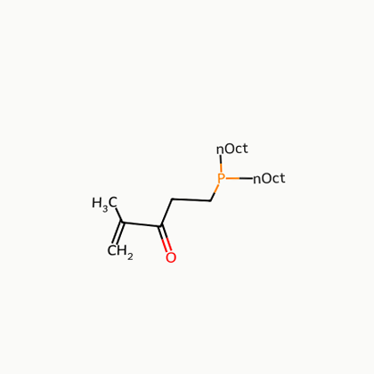 C=C(C)C(=O)CCP(CCCCCCCC)CCCCCCCC